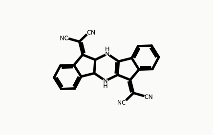 N#CC(C#N)=C1C2=C(NC3C(=C(C#N)C#N)c4ccccc4C3N2)c2ccccc21